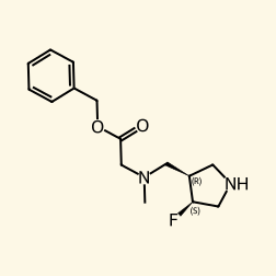 CN(CC(=O)OCc1ccccc1)C[C@H]1CNC[C@H]1F